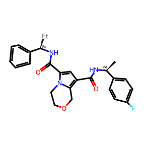 CC[C@@H](NC(=O)c1cc(C(=O)N[C@@H](C)c2ccc(F)cc2)c2n1CCOC2)c1ccccc1